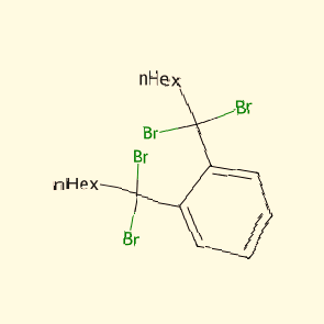 CCCCCCC(Br)(Br)c1ccccc1C(Br)(Br)CCCCCC